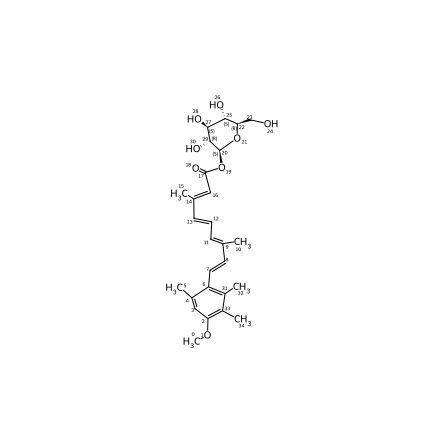 COc1cc(C)c(C=CC(C)=CC=CC(C)=CC(=O)O[C@@H]2O[C@H](CO)[C@@H](O)[C@H](O)[C@H]2O)c(C)c1C